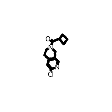 O=C(C1CCC1)N1CCc2cc(Cl)ncc2C1